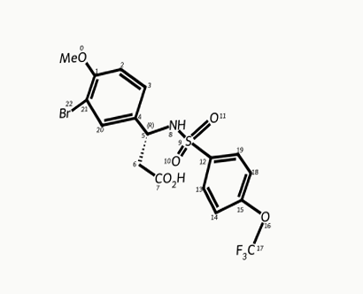 COc1ccc([C@@H](CC(=O)O)NS(=O)(=O)c2ccc(OC(F)(F)F)cc2)cc1Br